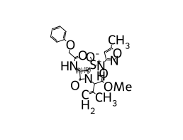 C=C(C)C(C(=O)OC)N1C(=O)[C@@H](NC(=O)COc2ccccc2)[C@H]1[S+]([O-])Nc1cc(C)on1